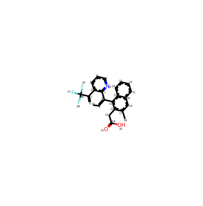 C=C(c1cccnc1/C(=C\C)c1c(CC(=O)O)c(C)cc2ccccc12)C(F)(F)F